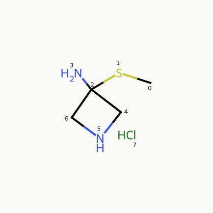 CSC1(N)CNC1.Cl